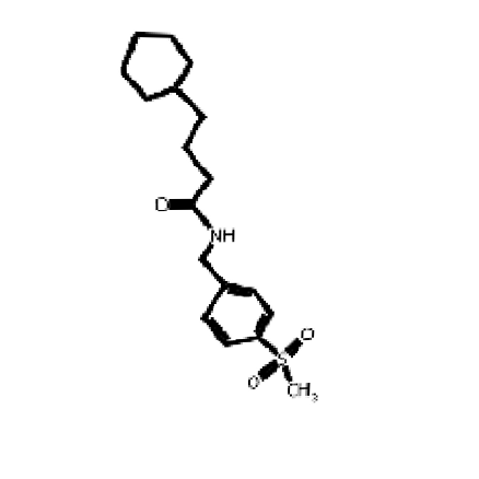 CS(=O)(=O)c1ccc(CNC(=O)CCCC2CCCCC2)cc1